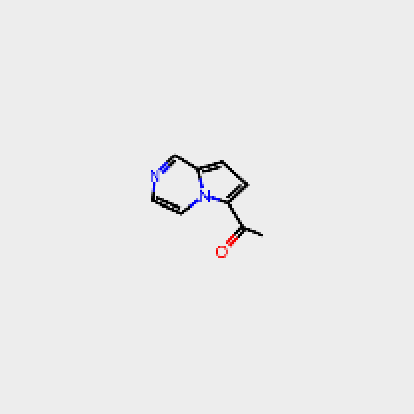 CC(=O)c1ccc2cnccn12